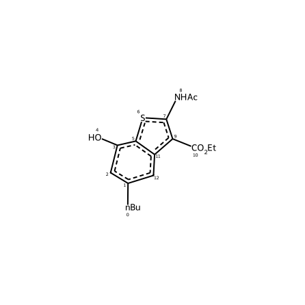 CCCCc1cc(O)c2sc(NC(C)=O)c(C(=O)OCC)c2c1